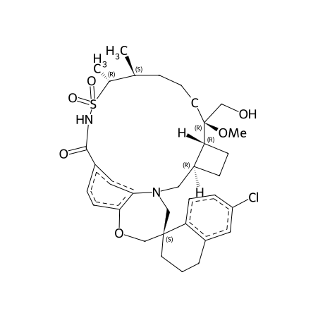 CO[C@]1(CO)CCC[C@H](C)[C@@H](C)S(=O)(=O)NC(=O)c2ccc3c(c2)N(C[C@@H]2CC[C@H]21)C[C@@]1(CCCc2cc(Cl)ccc21)CO3